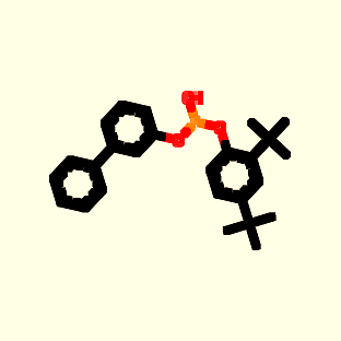 CC(C)(C)c1ccc(OP(O)Oc2cccc(-c3ccccc3)c2)c(C(C)(C)C)c1